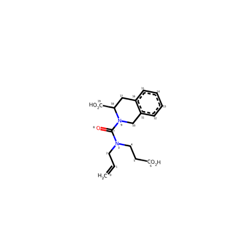 C=CCN(CCC(=O)O)C(=O)N1Cc2ccccc2CC1C(=O)O